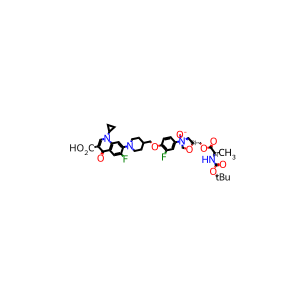 C[C@H](NC(=O)OC(C)(C)C)C(=O)OC[C@H]1C[N+]([O-])(c2ccc(OCC3CCN(c4cc5c(cc4F)c(=O)c(C(=O)O)cn5C4CC4)CC3)c(F)c2)CO1